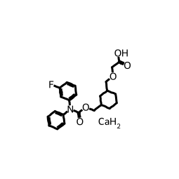 O=C(O)COCC1CCCC(COC(=O)N(c2ccccc2)c2cccc(F)c2)C1.[CaH2]